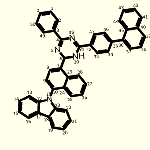 c1ccc(C2=NC(c3ccc(-n4c5ccccc5c5ccccc54)c4ccccc34)NC(c3ccc(-c4cccc5ccccc45)cc3)=N2)cc1